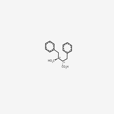 O=C(O)[C@@H](Cc1ccccc1)[C@H](Cc1ccccc1)C(=O)O